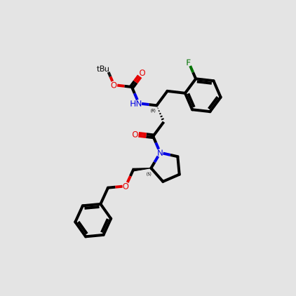 CC(C)(C)OC(=O)N[C@@H](CC(=O)N1CCC[C@H]1COCc1ccccc1)Cc1ccccc1F